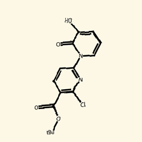 CC(C)(C)OC(=O)c1ccc(-n2cccc(O)c2=O)nc1Cl